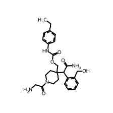 CCc1ccc(NC(=O)OCC2(C(C(N)=O)c3ccccc3CO)CCN(C(=O)CN)CC2)cc1